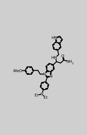 [CH2]CN(C[CH2])c1ccc(-c2nc3cc(C(CC(N)=O)NCc4ccc5[nH]ccc5c4)ccc3n2CCc2ccc(OC)cc2)cc1